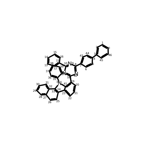 c1ccc(-c2ccc(-c3nc(-c4ccccc4)nc(-c4cccc5c6ccc7ccccc7c6n(-c6ccccc6)c45)n3)cc2)cc1